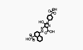 O=C(O)c1nn(-c2ccc(S(=O)(=O)O)cc2)c(O)c1N=Nc1ccc(S(=O)(=O)O)c2ccccc12